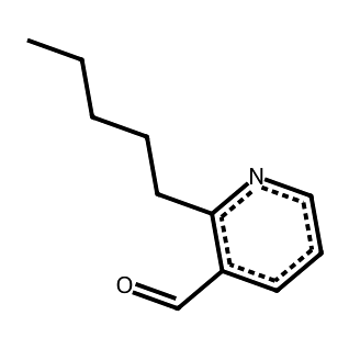 CCCCCc1ncccc1C=O